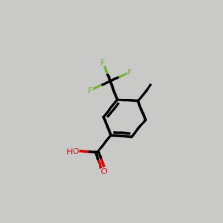 CC1CC=C(C(=O)O)C=C1C(F)(F)F